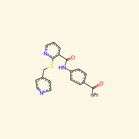 CCCC(=O)c1ccc(NC(=O)c2cccnc2SCc2ccncc2)cc1